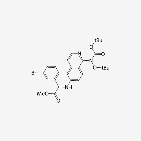 COC(=O)C(Nc1ccc2c(N(OC(C)(C)C)C(=O)OC(C)(C)C)nccc2c1)c1cccc(Br)c1